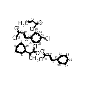 C=C(C(=O)Cl)c1ccccc1.C=CC(=O)Cl.O=C(Cl)C=Cc1ccc(Cl)cc1.O=C(Cl)C=Cc1ccccc1